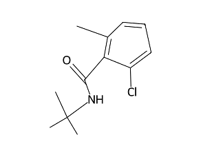 Cc1cccc(Cl)c1C(=O)NC(C)(C)C